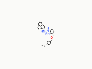 CC(C)(C)c1ccc(COCc2cccc(NC(=N)Nc3ccc4cccc5c4c3C=C5)c2)cc1